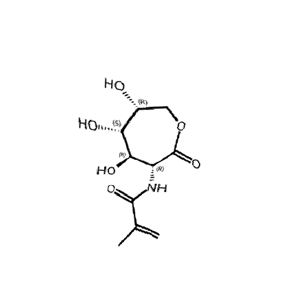 C=C(C)C(=O)N[C@H]1C(=O)OC[C@@H](O)[C@@H](O)[C@@H]1O